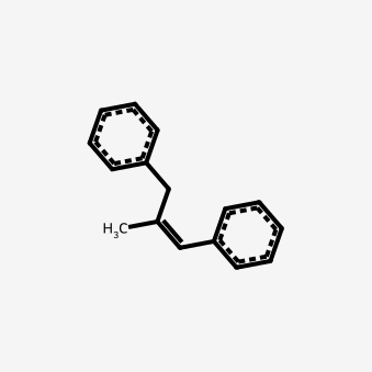 CC(=Cc1ccccc1)Cc1ccccc1